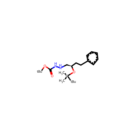 CC(C)(C)OC(=O)NNC[C@@H](CCc1ccccc1)O[Si](C)(C)C(C)(C)C